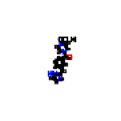 O=C(O)N1CCN(C(=O)c2cccc(Cc3ncc[nH]3)c2)CC1